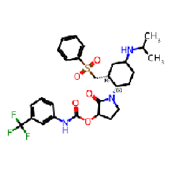 CC(C)NC1CC[C@H](N2CCC(OC(=O)Nc3cccc(C(F)(F)F)c3)C2=O)[C@H](CS(=O)(=O)c2ccccc2)C1